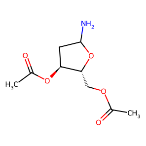 CC(=O)OC[C@H]1OC(N)C[C@@H]1OC(C)=O